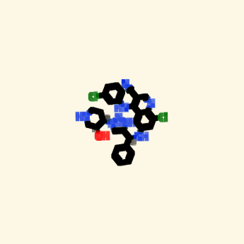 N#Cc1cnc2c(Cl)cc(N[C@H](C3=CN([C@@H]4CCNC[C@H]4O)NN3)c3ccccc3)cc2c1Nc1cccc(Cl)c1